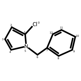 Clc1cccn1Cc1ccccc1